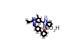 Cc1cc(-c2nc3ccccc3n2C)cc2c1nc(C1CC1)n2Cc1ccc(-c2ccccc2OC(=O)O)cc1